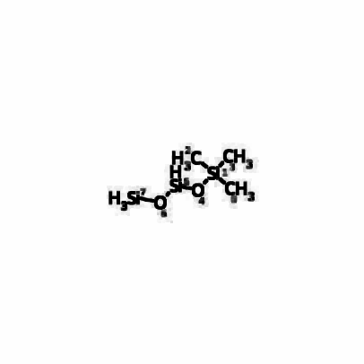 C[Si](C)(C)O[SiH]O[SiH3]